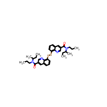 CCCN(C(=O)c1cnc2c(SSc3cccc4cc(C(=O)N(CCC)C(C)CC)cnc34)cccc2c1)C(C)CC